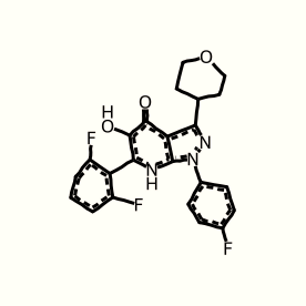 O=c1c(O)c(-c2c(F)cccc2F)[nH]c2c1c(C1CCOCC1)nn2-c1ccc(F)cc1